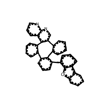 c1ccc2c(c1)-c1cnc3ncccc3c1-c1ccccc1-c1cccc(-c3cccc4c3oc3ccccc34)c1-2